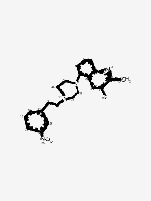 Cc1nc2cccc(N3CCN(CCc4cccc([N+](=O)[O-])c4)CC3)c2cc1F